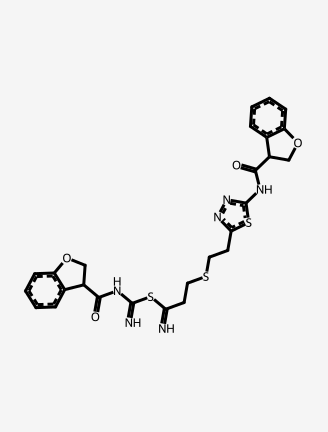 N=C(CCSCCc1nnc(NC(=O)C2COc3ccccc32)s1)SC(=N)NC(=O)C1COc2ccccc21